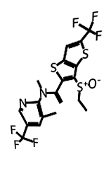 C=C(c1sc2cc(C(F)(F)F)sc2c1[S+]([O-])CC)N(C)c1ncc(C(F)(F)F)cc1C